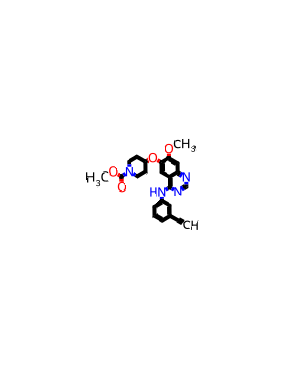 C#Cc1cccc(Nc2ncnc3cc(OC)c(OC4CCN(C(=O)OC)CC4)cc23)c1